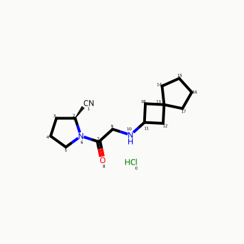 Cl.N#C[C@@H]1CCCN1C(=O)CNC1CC2(CCCC2)C1